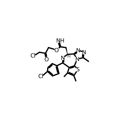 Cc1sc2c(c1C)C(c1ccc(Cl)cc1)=N[C@@H](CC(=N)OCC(=O)CCl)c1nnc(C)n1-2